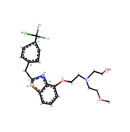 COCCN(CCO)CCOc1cccc2sc(Cc3ccc(C(F)(F)F)cc3)nc12